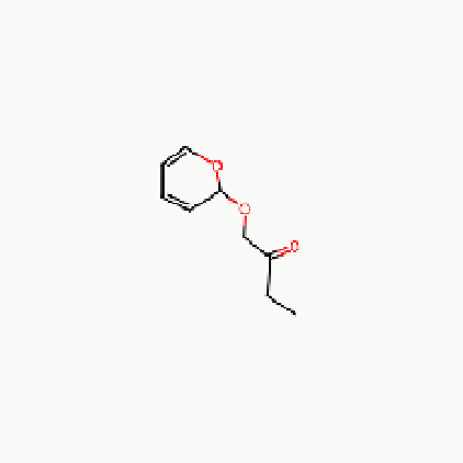 CCC(=O)COC1C=CC=CO1